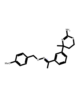 COc1ccc(CO/N=C(\C)c2cccc(C3(C)CCSC(N)=N3)c2)cc1